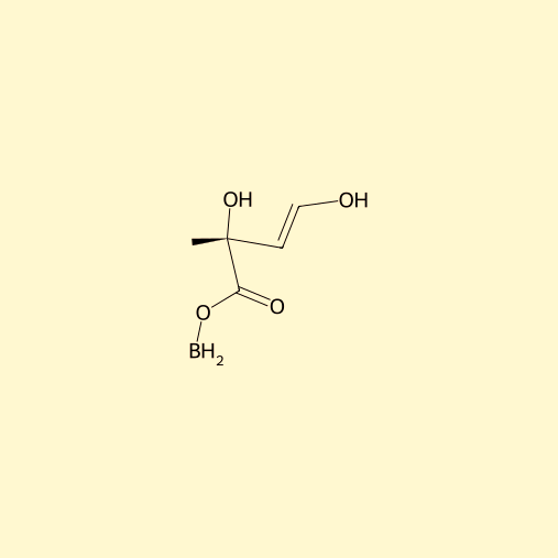 BOC(=O)[C@](C)(O)C=CO